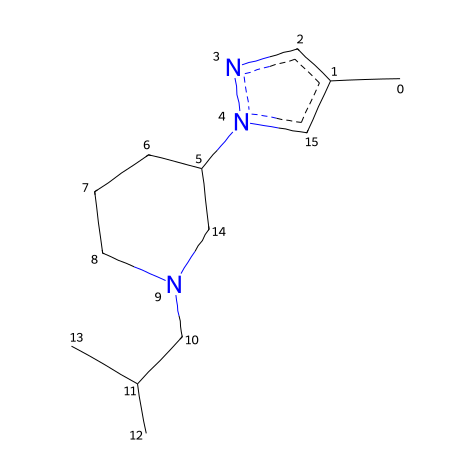 Cc1cnn(C2CCCN(CC(C)C)C2)c1